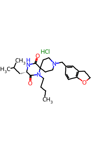 CCCCN1C(=O)[C@H](CC(C)C)NC(=O)C12CCN(Cc1ccc3c(c1)CCO3)CC2.Cl